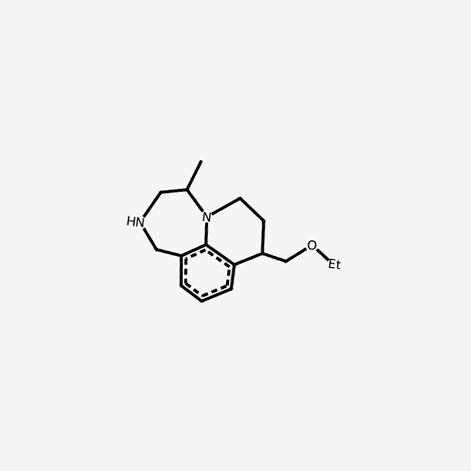 CCOCC1CCN2c3c(cccc31)CNCC2C